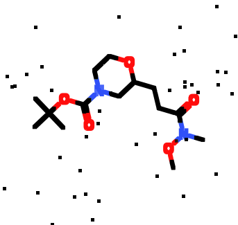 CON(C)C(=O)CCC1CN(C(=O)OC(C)(C)C)CCO1